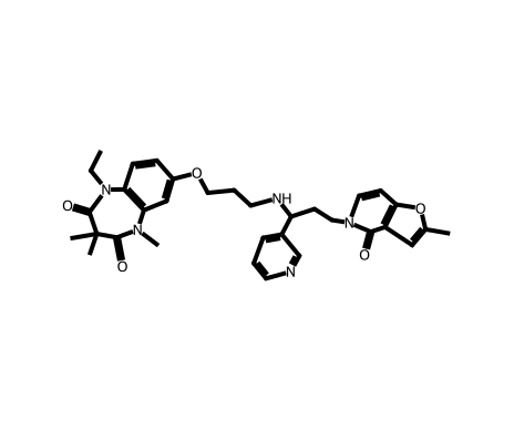 CCN1C(=O)C(C)(C)C(=O)N(C)c2cc(OCCCNC(CCn3ccc4oc(C)cc4c3=O)c3cccnc3)ccc21